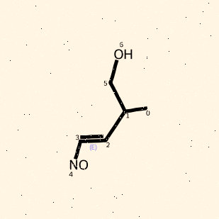 CC(/C=C/N=O)CO